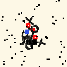 C=C[C@H]1CCN(C(=O)OC(C)(C)C)[C@@H]1C(O[SiH2]C(C)(C)C)(c1ccccc1)c1ccccc1